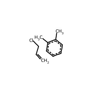 C=CCCl.Cc1ccccc1C